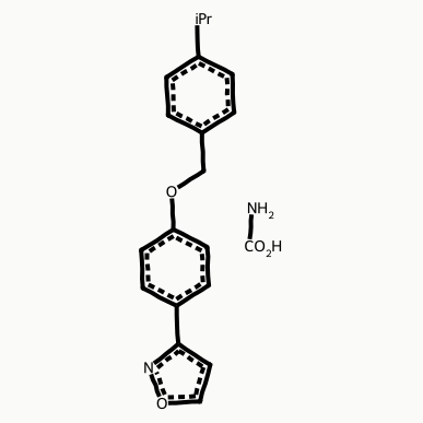 CC(C)c1ccc(COc2ccc(-c3ccon3)cc2)cc1.NC(=O)O